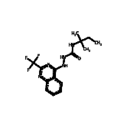 CCC(C)(C)NC(=O)NNc1nc(C(F)(F)F)nc2ccccc12